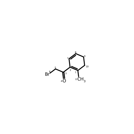 CC1=C(C(=O)CBr)C=CCC1